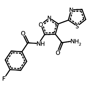 NC(=O)c1c(-c2nccs2)noc1NC(=O)c1ccc(F)cc1